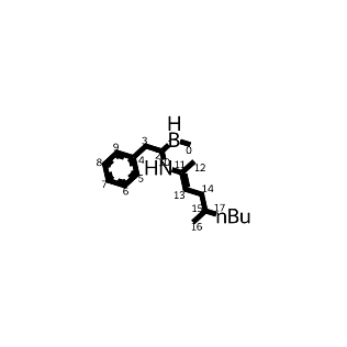 CBC(Cc1ccccc1)N/C(C)=C/CC(C)CCCC